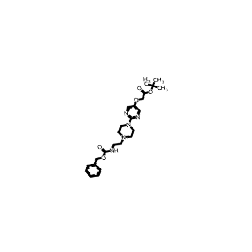 CC(C)(C)OC(=O)COc1cnc(N2CCN(CCNC(=O)OCc3ccccc3)CC2)nc1